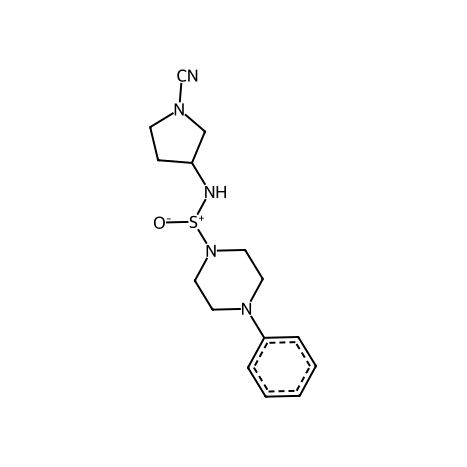 N#CN1CCC(N[S+]([O-])N2CCN(c3ccccc3)CC2)C1